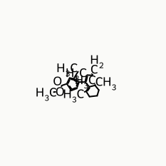 C=CC(C)=C(C1=C(C)CCCC1(C)C)c1ccc(C(=O)OC)cc1CC